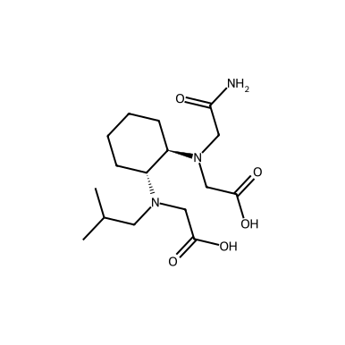 CC(C)CN(CC(=O)O)[C@@H]1CCCC[C@H]1N(CC(N)=O)CC(=O)O